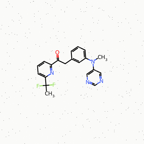 CN(c1cncnc1)c1cccc(CC(=O)c2cccc(C(C)(F)F)n2)c1